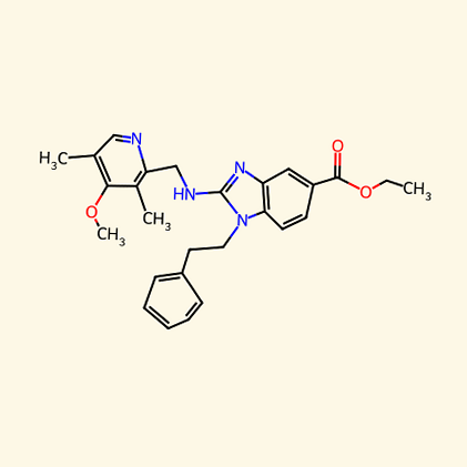 CCOC(=O)c1ccc2c(c1)nc(NCc1ncc(C)c(OC)c1C)n2CCc1ccccc1